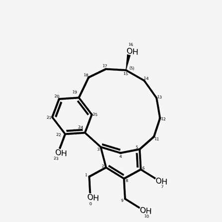 OCc1c2cc(c(O)c1CO)CCCC[C@H](O)CCc1ccc(O)c-2c1